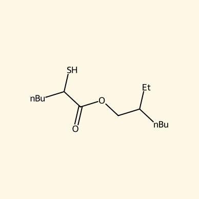 CCCCC(CC)COC(=O)C(S)CCCC